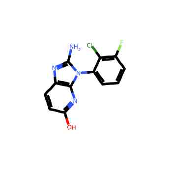 Nc1nc2ccc(O)nc2n1-c1cccc(F)c1Cl